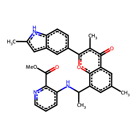 COC(=O)c1ncccc1NC(C)c1cc(C)cc2c(=O)c(C)c(-c3ccc4[nH]c(C)cc4c3)oc12